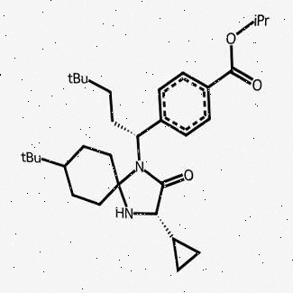 CC(C)OC(=O)c1ccc([C@@H](CCC(C)(C)C)N2C(=O)[C@H](C3CC3)NC23CCC(C(C)(C)C)CC3)cc1